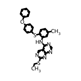 CCSc1ncc2c(Nc3cc(C)ccc3Sc3ccc(Oc4ccccc4)cc3)ncnc2n1